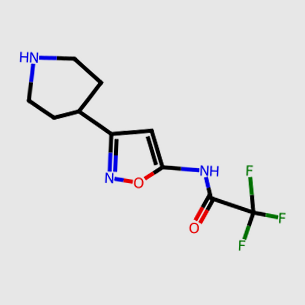 O=C(Nc1cc(C2CCNCC2)no1)C(F)(F)F